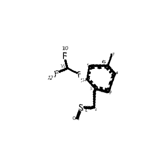 CSCc1ccc(C)cc1.FC(F)F